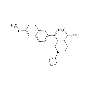 COc1ccc2cc(C(=O)C3CN(C4CCC4)CCC3C(C)C)ccc2c1